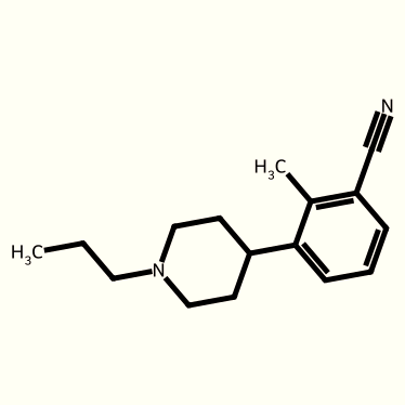 CCCN1CCC(c2cccc(C#N)c2C)CC1